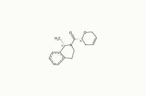 C[C@H]1c2ccccc2CCN1C(=O)[C@H]1CC=CCO1